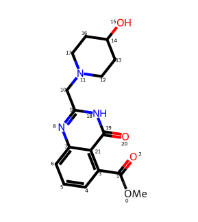 COC(=O)c1cccc2nc(CN3CCC(O)CC3)[nH]c(=O)c12